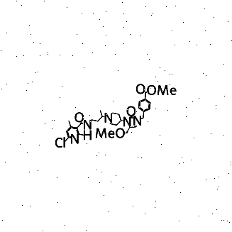 COC[C@@H]1CN(Cc2ccc(C(=O)OC)cc2)C(=O)N1C1CCN(C(C)CCNC(=O)c2c(C)cc(Cl)nc2C)CC1